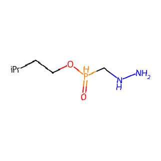 CC(C)CCO[PH](=O)CNN